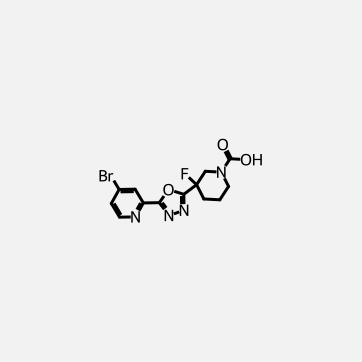 O=C(O)N1CCCC(F)(c2nnc(-c3cc(Br)ccn3)o2)C1